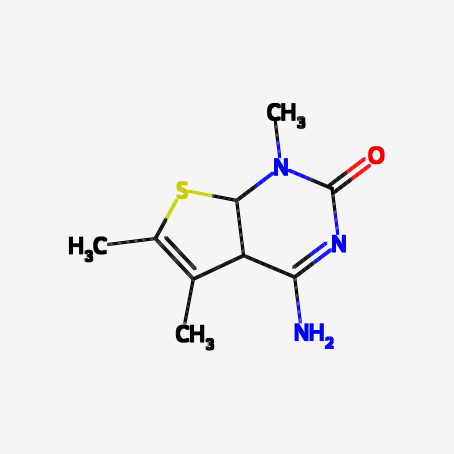 CC1=C(C)C2C(N)=NC(=O)N(C)C2S1